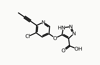 CC#Cc1ncc(Oc2[nH]nnc2C(=O)O)cc1Cl